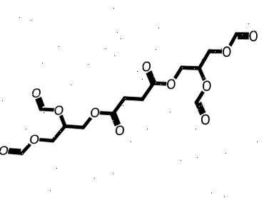 O=COCC(COC(=O)CCC(=O)OCC(COC=O)OC=O)OC=O